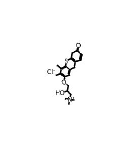 Cc1c(OCC(O)C[N+](C)(C)C)cc2c(c1C)SC1=C(C=CC(=O)C1)C2.[Cl-]